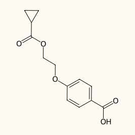 O=C(O)c1ccc(OCCOC(=O)C2CC2)cc1